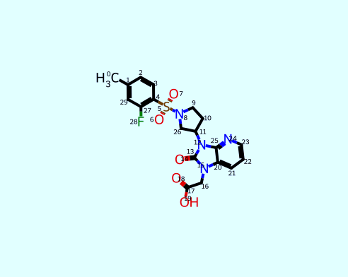 Cc1ccc(S(=O)(=O)N2CCC(n3c(=O)n(CC(=O)O)c4cccnc43)C2)c(F)c1